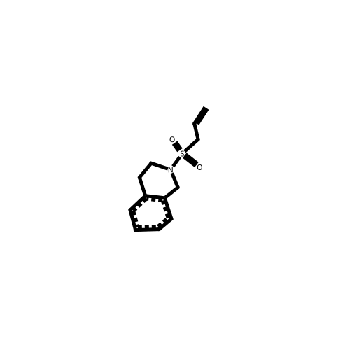 C=CCS(=O)(=O)N1CCc2c[c]ccc2C1